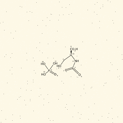 O=C(O)[C@H](CO)NI(=O)=O.O=P(O)(O)O